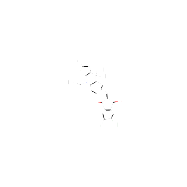 CCN1c2ccc(C=C3C(=O)c4cc(Cl)c(Cl)cc4C3=O)cc2C(C)(C)c2cc(C)sc21